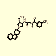 CCCO[C@@H]1CN(C2CCC3(C=Cc4ccccc43)CC2)C[C@@H]1NC(=O)CNC(=O)c1cccc(C(F)(F)F)c1